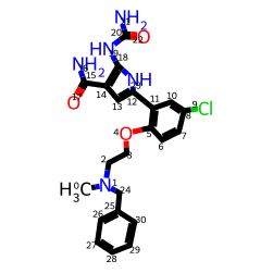 CN(CCOc1ccc(Cl)cc1-c1cc(C(N)=O)c(NC(N)=O)[nH]1)Cc1ccccc1